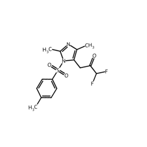 Cc1ccc(S(=O)(=O)n2c(C)nc(C)c2CC(=O)C(F)F)cc1